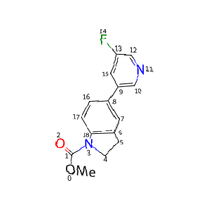 COC(=O)N1CCc2cc(-c3cncc(F)c3)ccc21